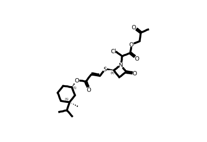 CC(=O)COC(=O)C(Cl)N1C(=O)C[C@H]1SC=CC(=O)O[C@H]1CCC[C@](C)(C(C)C)C1